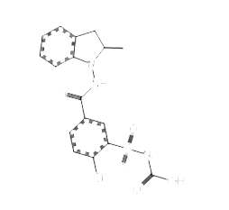 CC1Cc2ccccc2N1NC(=O)c1ccc(Cl)c(S(=O)(=O)NC(=O)O)c1